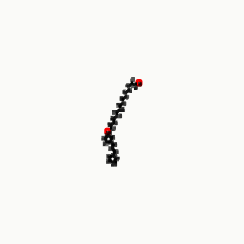 CC([C]=O)CCCCCCCCCCCCCCOC1CCC(CCCC2C[CH]CC2)C1